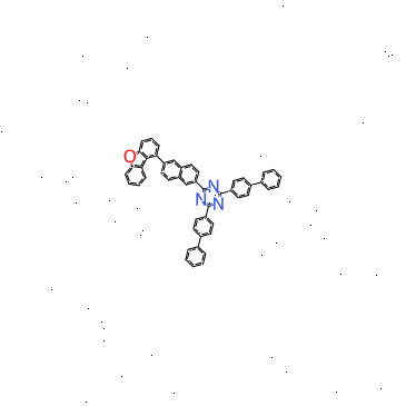 c1ccc(-c2ccc(-c3nc(-c4ccc(-c5ccccc5)cc4)nc(-c4ccc5cc(-c6cccc7oc8ccccc8c67)ccc5c4)n3)cc2)cc1